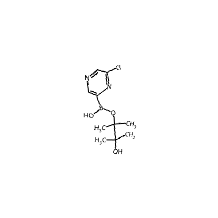 CC(C)(O)C(C)(C)OB(O)c1cncc(Cl)n1